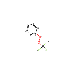 FC(F)(F)OOc1ccccc1